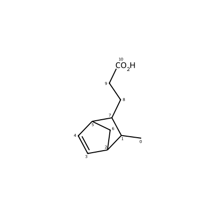 CC1C2C=CC(C2)C1CCC(=O)O